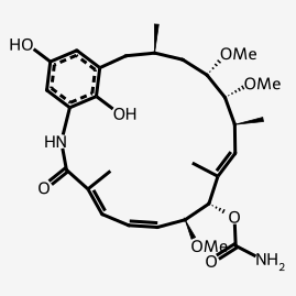 CO[C@H]1[C@@H](OC)C[C@H](C)Cc2cc(O)cc(c2O)NC(=O)/C(C)=C/C=C\[C@H](OC)[C@@H](OC(N)=O)/C(C)=C/[C@@H]1C